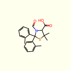 Cc1ccccc1C1(c2ccccc2C)SC(C)(C)C(C(=O)O)N1C=O